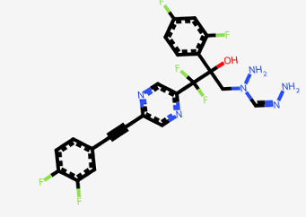 N/N=C\N(N)CC(O)(c1ccc(F)cc1F)C(F)(F)c1cnc(C#Cc2ccc(F)c(F)c2)cn1